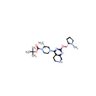 C[C@@H]1CN(c2nc(OC[C@@H]3CCCN3C)nc3c2CCNC3)CCN1C(=O)OC(C)(C)C